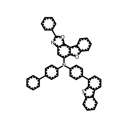 c1ccc(-c2ccc(N(c3ccc(-c4cccc5c4sc4ccccc45)cc3)c3cc4nc(-c5ccccc5)oc4c4c3oc3ccccc34)cc2)cc1